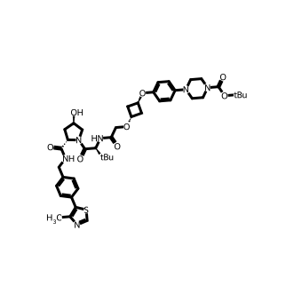 Cc1ncsc1-c1ccc(CNC(=O)[C@@H]2C[C@@H](O)CN2C(=O)[C@@H](NC(=O)CO[C@H]2C[C@H](Oc3ccc(N4CCN(C(=O)OC(C)(C)C)CC4)cc3)C2)C(C)(C)C)cc1